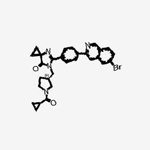 O=C(C1CC1)N1CC[C@@H](CN2C(=O)C3(CC3)N=C2c2ccc(-c3cc4cc(Br)ccc4cn3)cc2)C1